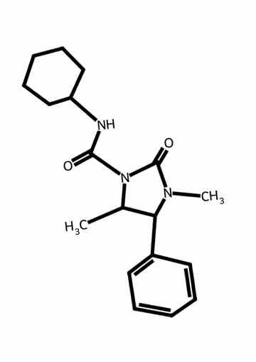 CC1C(c2ccccc2)N(C)C(=O)N1C(=O)NC1CCCCC1